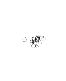 CCOC(=O)[C@H](CCc1ccccc1)N1[C@@H]2C=CCC[C@@H]2C[C@]1(C(=O)OC(C)(C)C)C(=O)C(C)N